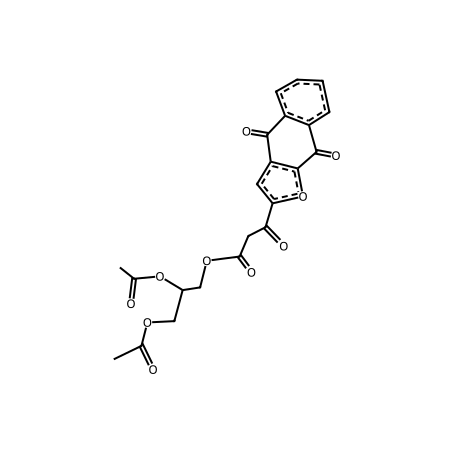 CC(=O)OCC(COC(=O)CC(=O)c1cc2c(o1)C(=O)c1ccccc1C2=O)OC(C)=O